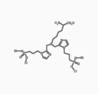 CCOP(=O)(CCCn1ccnc1CN(CCCCC(N)C(=O)O)Cc1nccn1CCCP(=O)(OCC)OCC)OCC